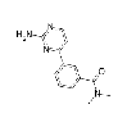 CN(C)C(=O)c1[c]ccc(-c2ccnc(N)n2)c1